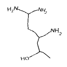 CC(O)C(N)CC(N)N